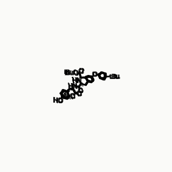 COC(=O)C(Cc1ccc(O)cc1)NC(=O)[C@@H]1Cc2ccc(Oc3ccc(C(C)(C)C)cc3)cc2C(C(=O)OCC(C)C)N1